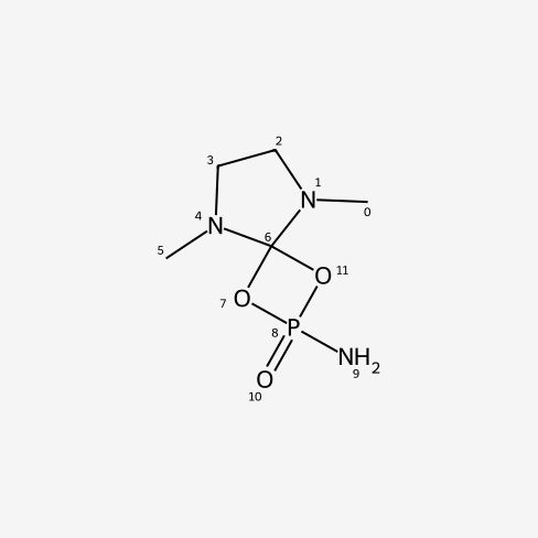 CN1CCN(C)C12OP(N)(=O)O2